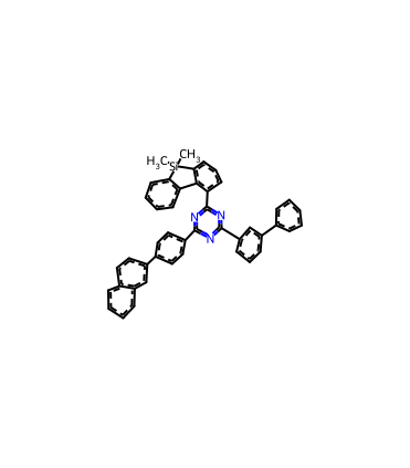 C[Si]1(C)c2ccccc2-c2c(-c3nc(-c4ccc(-c5ccc6ccccc6c5)cc4)nc(-c4cccc(-c5ccccc5)c4)n3)cccc21